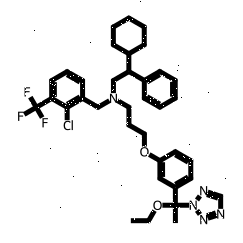 CCOC(C)(c1cccc(OCCCN(Cc2cccc(C(F)(F)F)c2Cl)CC(c2ccccc2)C2CCCCC2)c1)n1ncnn1